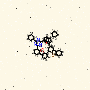 c1ccc(-c2cccc(-c3cc(-c4cccc5c4oc4c(-c6nc(-c7ccccc7)nc(-c7ccccc7)n6)cccc45)c4sc5ccccc5c4c3)c2)cc1